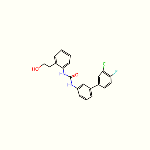 O=C(Nc1cccc(-c2ccc(F)c(Cl)c2)c1)Nc1ccccc1CCO